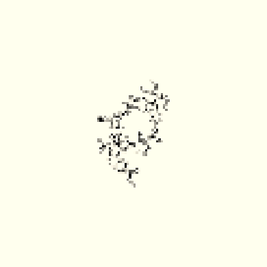 CCn1c(-c2cccnc2[C@H](C)OC)c2c3cc(ccc31)-c1cc(O)cc(c1)C[C@H](NC(=O)[C@H](C(C)C)N(C)C(=O)[C@@H]1CN(C(=O)OC)C[C@@H]1C)C(=O)N1CCC[C@H](N1)C(=O)OCC(C)(C)C2